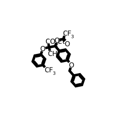 CCOC(=O)C(C)(Oc1cccc(C(F)(F)F)c1)C(OC(=O)C(F)(F)F)c1ccc(OCc2ccccc2)cc1